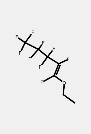 CCOC(F)=C(F)C(F)(F)C(F)(F)C(F)(F)F